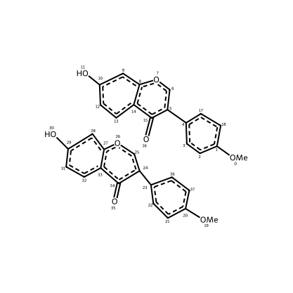 COc1ccc(-c2coc3cc(O)ccc3c2=O)cc1.COc1ccc(-c2coc3cc(O)ccc3c2=O)cc1